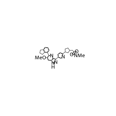 CNS(=O)(=O)CC1CCC(c2ccc(-c3n[nH]c4cc(OC)c(-c5cccc6c5CCC6)nc34)cn2)C1